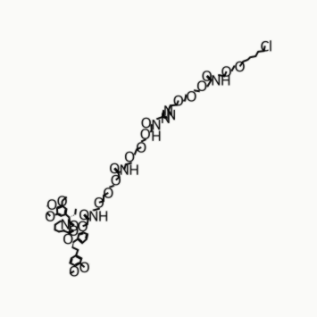 CC[C@H](C(=O)N1CCCCC1C(=O)O[C@H](CCc1ccc(OC)c(OC)c1)c1cccc(OCC(=O)NCCOCCOCCOCC(=O)NCCOCCOCCOCC(=O)NCc2cn(CCOCCOCCOCC(=O)NCCOCCOCCCCCCCl)nn2)c1)c1cc(OC)c(OC)c(OC)c1